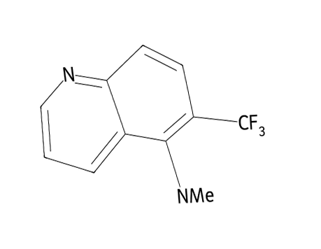 CNc1c(C(F)(F)F)ccc2ncccc12